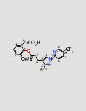 COc1cccc(CC(=O)O)c1OCCCc1cn(-c2ccc(C(F)(F)F)cn2)nc1C(C)C